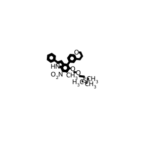 Cc1c(OCOCC[Si](C)(C)C)c(-c2ccc3c(c2)CCCO3)c2cc(-c3ccccc3)[nH]c2c1[N+](=O)[O-]